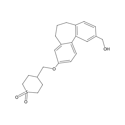 O=S1(=O)CCC(COc2ccc3c(c2)CCCc2ccc(CO)cc2-3)CC1